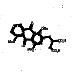 COc1cccc2c1C(=O)c1c(OC)cc(CC(CC(=O)O)C(=O)O)c(OC)c1C2=O